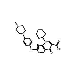 CN1CCN(c2ccc(Nc3ncc4c(=O)c(C(=O)O)cn(C5CCCCC5)c4n3)cc2)CC1